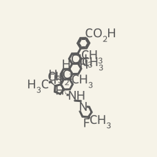 C=C(C)[C@@H]1CC[C@]2(CNCCN3CCC(C)(F)CC3)CC[C@]3(C)[C@H](CC[C@@H]4[C@@]5(C)CC=C(c6ccc(C(=O)O)cc6)C(C)(C)[C@@H]5CC[C@]43C)[C@@H]12